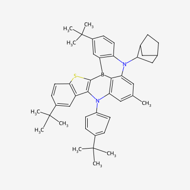 Cc1cc2c3c(c1)N(C1CC4CCC1C4)c1ccc(C(C)(C)C)cc1B3c1sc3ccc(C(C)(C)C)cc3c1N2c1ccc(C(C)(C)C)cc1